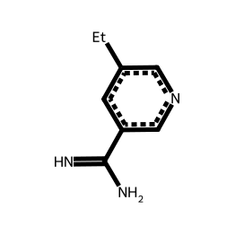 CCc1cncc(C(=N)N)c1